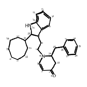 O=C1C=CN(CCC2c3ccccc3NC2C2CCCCCCC2)C(Cc2ccccc2)C1